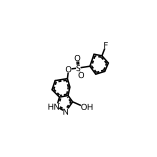 O=S(=O)(Oc1ccc2[nH]nc(O)c2c1)c1cccc(F)c1